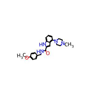 COc1ccc(CNC(=O)c2cc3c(N4CCN(C)CC4)cccc3[nH]2)cc1